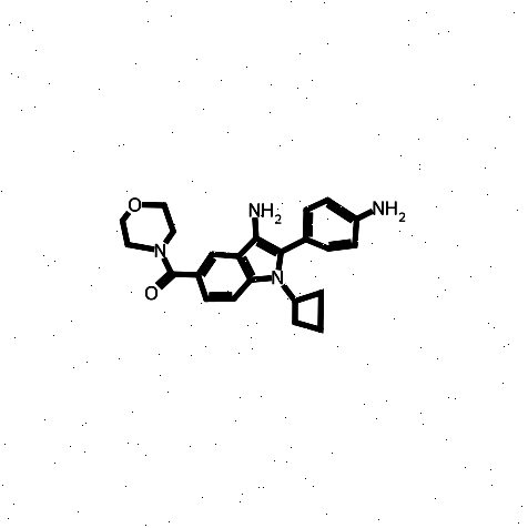 Nc1ccc(-c2c(N)c3cc(C(=O)N4CCOCC4)ccc3n2C2CCC2)cc1